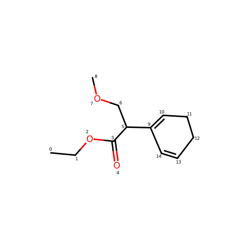 CCOC(=O)C(COC)C1=CCCC=C1